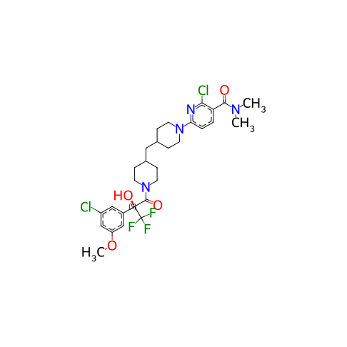 COc1cc(Cl)cc([C@](O)(C(=O)N2CCC(CC3CCN(c4ccc(C(=O)N(C)C)c(Cl)n4)CC3)CC2)C(F)(F)F)c1